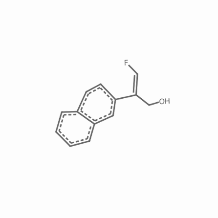 OC/C(=C/F)c1ccc2ccccc2c1